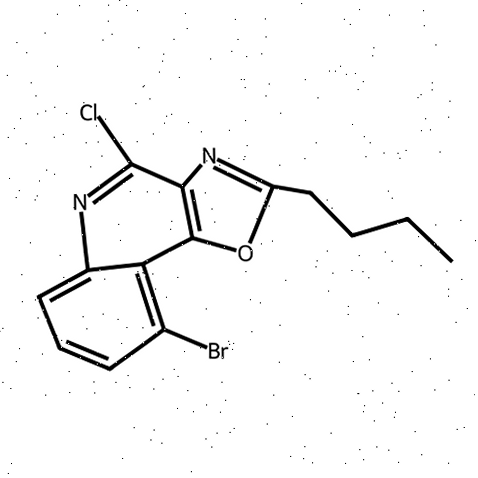 CCCCc1nc2c(Cl)nc3cccc(Br)c3c2o1